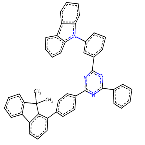 CC1(C)c2ccccc2-c2cccc(-c3ccc(-c4nc(-c5ccccc5)nc(-c5cccc(-n6c7ccccc7c7ccccc76)c5)n4)cc3)c21